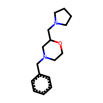 c1ccc(CN2CCOC(CN3CCCC3)C2)cc1